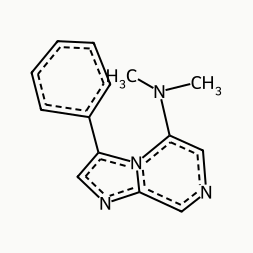 CN(C)c1cncc2ncc(-c3ccccc3)n12